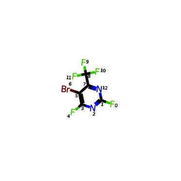 Fc1nc(F)c(Br)c(C(F)(F)F)n1